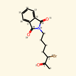 CC(=O)C(Br)CCCCN1C(=O)c2ccccc2C1=O